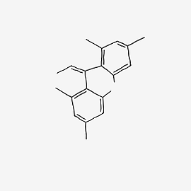 CC=C(c1c(C)cc(C)cc1C)c1c(C)cc(C)cc1C